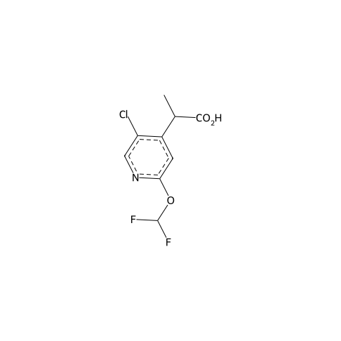 CC(C(=O)O)c1cc(OC(F)F)ncc1Cl